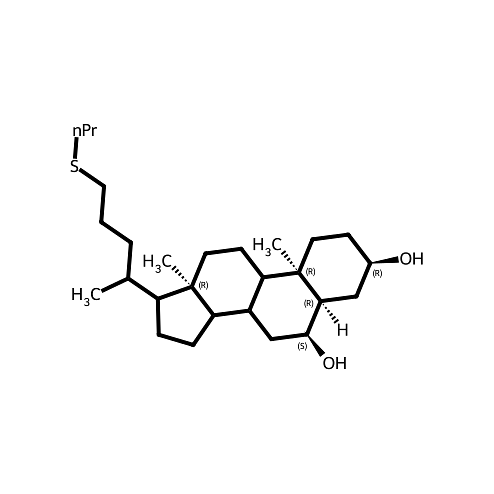 CCCSCCCC(C)C1CCC2C3C[C@H](O)[C@@H]4C[C@H](O)CC[C@]4(C)C3CC[C@]12C